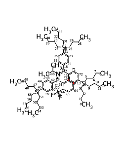 CCCC[Si](CCCC)(CCCC)c1ccc(P(c2ccc([Si](CCCC)(CCCC)CCCC)cc2)N(C(C)C)P(c2ccc([Si](CCCC)(CCCC)CCCC)cc2)c2ccccc2C(F)(F)F)cc1